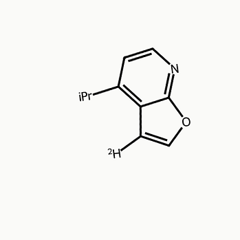 [2H]c1coc2nccc(C(C)C)c12